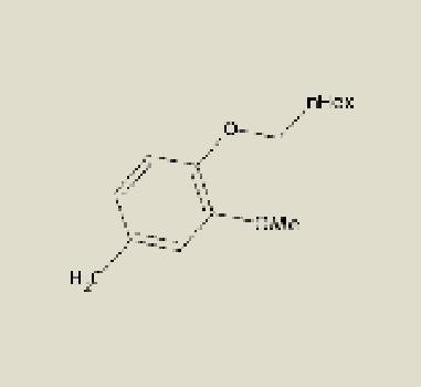 [CH2]c1ccc(OCCCCCCC)c(OC)c1